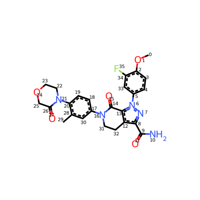 COc1ccc(-n2nc(C(N)=O)c3c2C(=O)N(c2ccc(N4CCOCC4=O)c(C)c2)CC3)cc1F